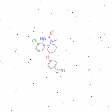 O=Cc1ccc(OC2CCCC3(C2)NC(=O)Nc2c(Cl)cccc23)cc1